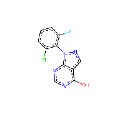 Oc1ncnc2c1cnn2-c1c(F)cccc1Cl